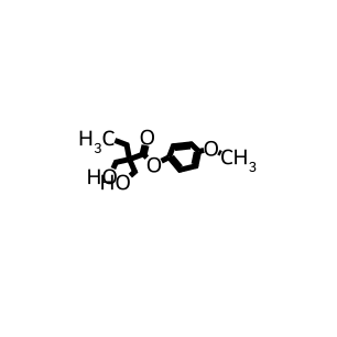 CCC(CO)(CO)C(=O)Oc1ccc(OC)cc1